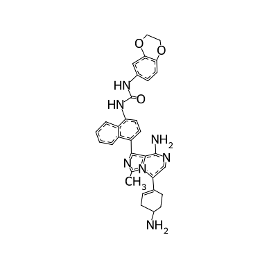 Cc1nc(-c2ccc(NC(=O)Nc3ccc4c(c3)OCCO4)c3ccccc23)c2c(N)ncc(C3=CCC(N)CC3)n12